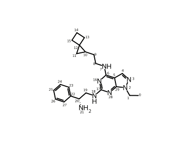 CCn1ncc2c(NCCC3CC34CCC4)nc(NC[C@H](N)c3ccccc3)nc21